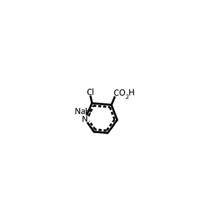 O=C(O)c1cccnc1Cl.[NaH]